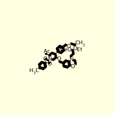 CCOC(C)COCc1ccc([C@H]2C[C@H](CC(C)=O)N(S(=O)(=O)c3ccc(C)cc3)C[C@@H]2OCc2ccc3c(c2)N(CCCOC)CCO3)cc1